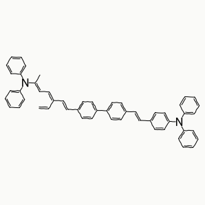 C=CC(/C=C/c1ccc(-c2ccc(/C=C/c3ccc(N(c4ccccc4)c4ccccc4)cc3)cc2)cc1)=C\C=C(/C)N(c1ccccc1)c1ccccc1